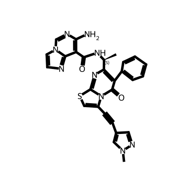 C[C@H](NC(=O)c1c(N)ncn2ccnc12)c1nc2scc(C#Cc3cnn(C)c3)n2c(=O)c1-c1ccccc1